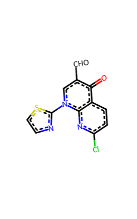 O=Cc1cn(-c2nccs2)c2nc(Cl)ccc2c1=O